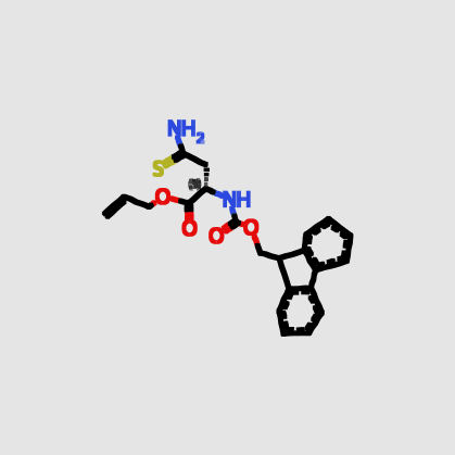 C=CCOC(=O)[C@H](CC(N)=S)NC(=O)OCC1c2ccccc2-c2ccccc21